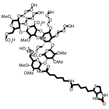 COC1C(OC)[C@H](O[C@H]2O[C@@H](COS(=O)(=O)O)[C@@H](O[C@@H]3OC(C(=O)O)[C@@H](O[C@H]4OC(COS(=O)(=O)O)[C@@H](OC)[C@H](OC)C4NC(=O)CCCCCNC(=O)CCCCC4SCC5NC(=O)NC54)[C@H](OC)C3OC)C(OSOOO)C2OSOOO)[C@H](C(=O)O)O[C@H]1O[C@@H]1C(COS(=O)(=O)O)O[C@H](OC)C(OSOOO)[C@H]1OSOOO